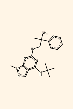 Cn1ncc2c(NC(C)(C)C)nc(NCC(C)(N)c3ccccc3)nc21